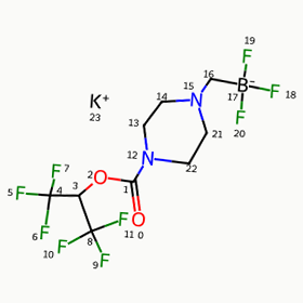 O=C(OC(C(F)(F)F)C(F)(F)F)N1CCN(C[B-](F)(F)F)CC1.[K+]